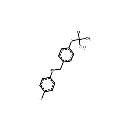 CCC(C)(Oc1ccc(CNc2ccc(Cl)cc2)cc1)C(=O)O